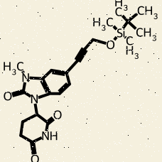 Cn1c(=O)n(C2CCC(=O)NC2=O)c2ccc(C#CCO[Si](C)(C)C(C)(C)C)cc21